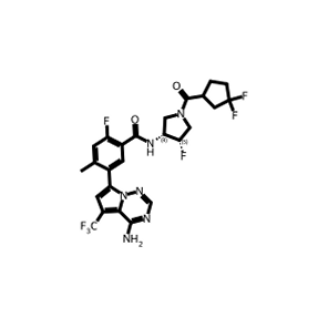 Cc1cc(F)c(C(=O)N[C@@H]2CN(C(=O)C3CCC(F)(F)C3)C[C@@H]2F)cc1-c1cc(C(F)(F)F)c2c(N)ncnn12